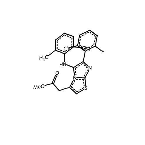 COC(=O)Cc1csc2nc(-c3c(F)cccc3Cl)c(Nc3c(C)cccc3C)n12